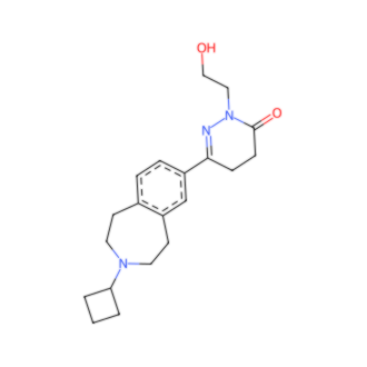 O=C1CCC(c2ccc3c(c2)CCN(C2CCC2)CC3)=NN1CCO